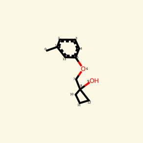 Cc1cccc(OCC2(O)CCC2)c1